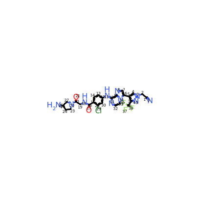 N#CCn1cc(-c2cnc3c(Nc4ccc(C(=O)NCC(=O)N5CC[C@@H](N)C5)c(Cl)c4)nccn23)c(C(F)(F)F)n1